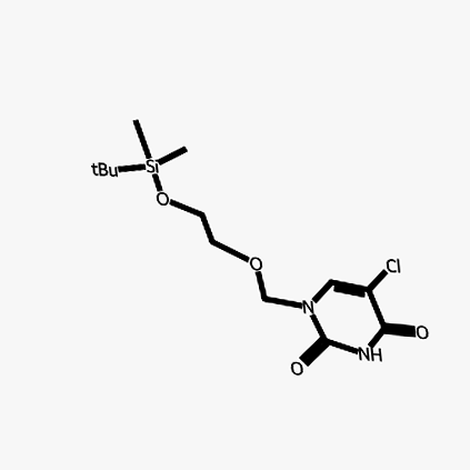 CC(C)(C)[Si](C)(C)OCCOCn1cc(Cl)c(=O)[nH]c1=O